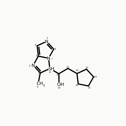 CC1=Nc2cncn2[SH]1C(O)CC1CCCC1